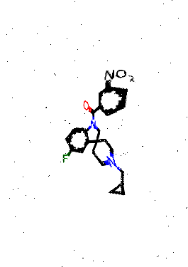 O=C(c1cccc([N+](=O)[O-])c1)N1CC2(CCN(CC3CC3)CC2)c2cc(F)ccc21